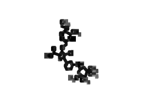 CCOC(=O)C(C)NC(=O)COc1c(C(=O)O)sc(-c2cccc(NC3CC(C)(C)CC(C)(C)C3)c2)c1Cl